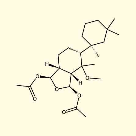 COC1(C)[C@@H]2[C@@H](OC(C)=O)O[C@@H](OC(C)=O)[C@@H]2CC[C@@H]1[C@@]1(C)CCCC(C)(C)C1